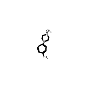 CC1=CC=C(N2CCN(C)CC2)CC=C1